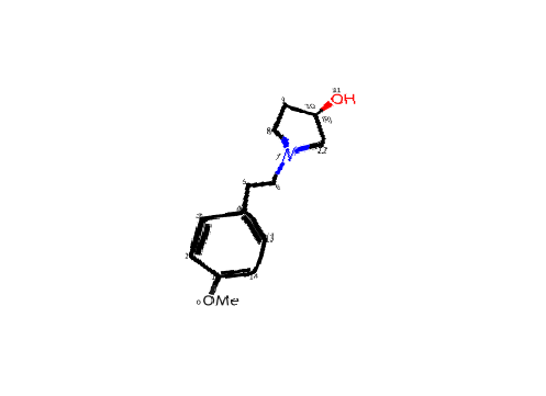 COc1ccc(CCN2CC[C@@H](O)C2)cc1